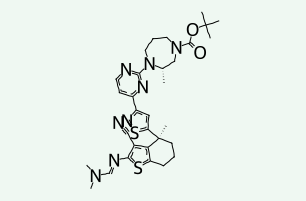 C[C@H]1CN(C(=O)OC(C)(C)C)CCCN1c1nccc(-c2cc([C@@]3(C)CCCc4sc(/N=C/N(C)C)c(C#N)c43)sn2)n1